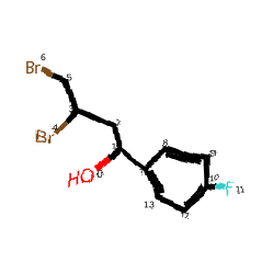 OC(CC(Br)CBr)c1ccc(F)cc1